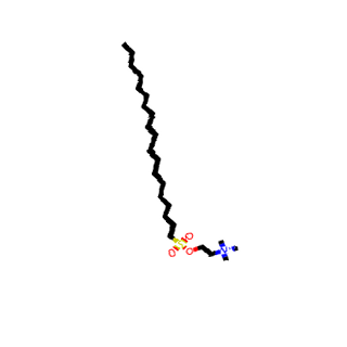 CCCCCCCCCCCCCCCCCCCS(=O)(=O)OCC[N+](C)(C)C